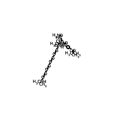 CC(C)NCCOCCOCCOCCOCCOCCOCCOCCOCCC(=O)N[C@H](C(=O)N[C@@H](CCCNC(N)=O)C(=O)Nc1ccc(COC(=O)C(C)(C)C)cc1)C(C)C